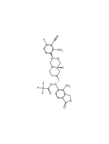 Cc1c([C@@H]2CN3CCN(C[C@@H](OC(=O)C(F)(F)F)c4ccc5c(c4C)COC5=O)C[C@H]3CO2)ccc(F)c1C#N